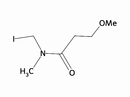 COCCC(=O)N(C)CI